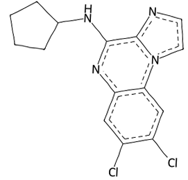 Clc1cc2nc(NC3CCCC3)c3nccn3c2cc1Cl